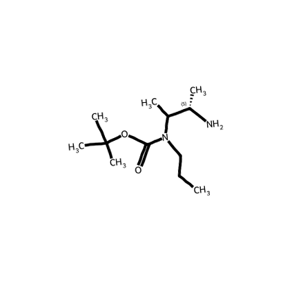 CCCN(C(=O)OC(C)(C)C)C(C)[C@H](C)N